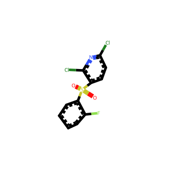 O=S(=O)(c1ccccc1F)c1ccc(Cl)nc1Cl